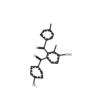 Cc1ccc(C(=O)c2c(C(=O)c3ccc(C(F)(F)F)cc3)ccc([C]=O)c2C)cc1